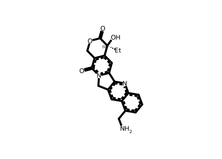 CC[C@@]1(O)C(=O)OCc2c1cc1n(c2=O)Cc2cc3c(CN)cccc3nc2-1